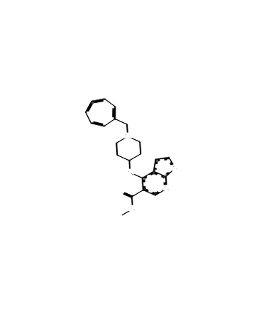 CNC(=O)c1cnc2[nH]ccc2c1NC1CCN(CC2=CC=C=CC=C2)CC1